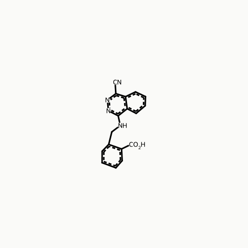 N#Cc1nnc(NCc2ccccc2C(=O)O)c2ccccc12